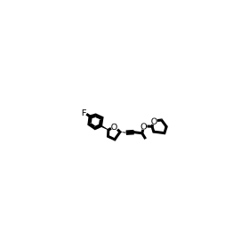 CC(C#C[C@@H]1CC[C@@H](c2ccc(F)cc2)O1)OC1CCCCO1